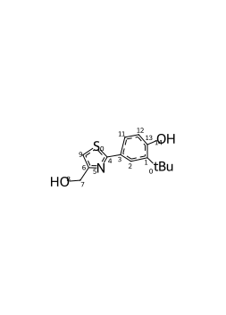 CC(C)(C)c1cc(-c2nc(CO)cs2)ccc1O